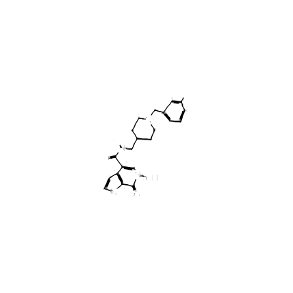 CN(CC1CCN(Cc2cccc(F)c2)CC1)C(=O)c1cn(C)c(=O)c2[nH]ccc12